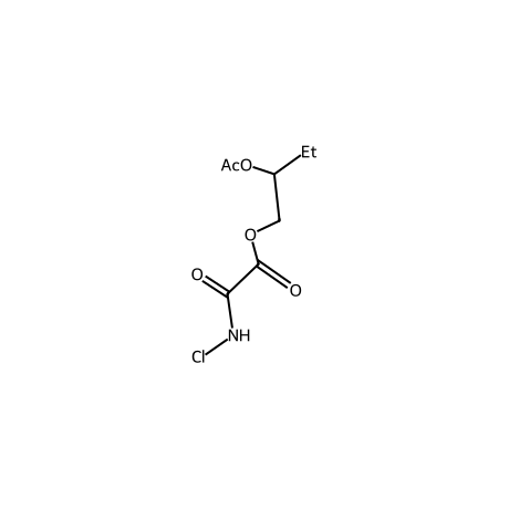 CCC(COC(=O)C(=O)NCl)OC(C)=O